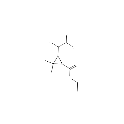 CCOC(=O)C1C(C(O)C(Br)Br)C1(C)C